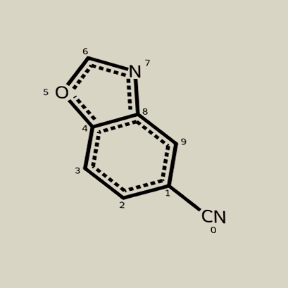 N#Cc1ccc2ocnc2c1